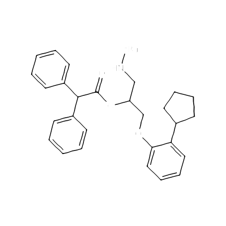 CC(C)(C)NCC(COc1ccccc1C1CCCC1)OC(=O)C(c1ccccc1)c1ccccc1